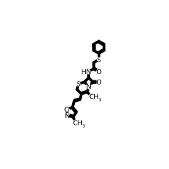 CC1=C(C=Cc2cc(C)no2)CSC2C(NC(=O)CSc3ccccc3)C(=O)N12